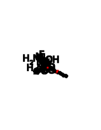 C#C[C@]1(CO[P@@](=O)(OCC(=O)OCCCCCCCCCC)OC(=O)C(N)Cc2ccccc2)O[C@@H](n2cnc3c(N)nc(F)nc32)C[C@@H]1O